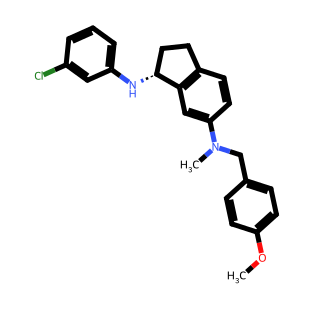 COc1ccc(CN(C)c2ccc3c(c2)[C@H](Nc2cccc(Cl)c2)CC3)cc1